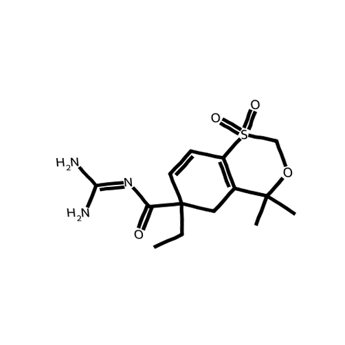 CCC1(C(=O)N=C(N)N)C=CC2=C(C1)C(C)(C)OCS2(=O)=O